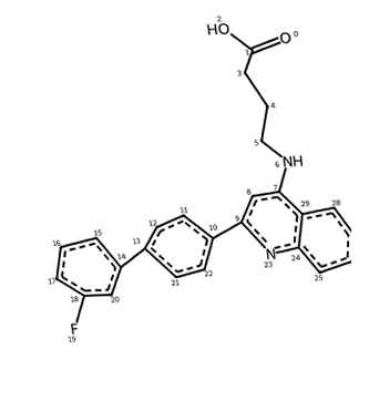 O=C(O)CCCNc1cc(-c2ccc(-c3cccc(F)c3)cc2)nc2ccccc12